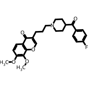 COc1ccc2c(=O)c(CCCN3CCC(C(=O)c4ccc(F)cc4)CC3)coc2c1OC